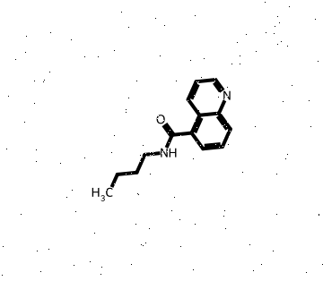 CCCCNC(=O)c1cccc2ncccc12